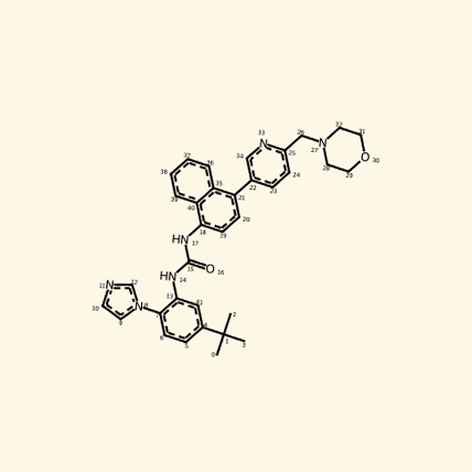 CC(C)(C)c1ccc(-n2ccnc2)c(NC(=O)Nc2ccc(-c3ccc(CN4CCOCC4)nc3)c3ccccc23)c1